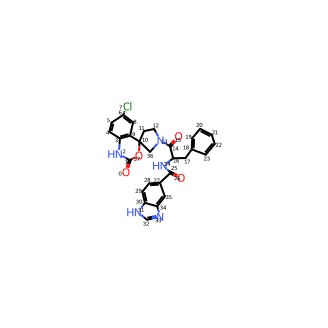 O=C1Nc2ccc(Cl)cc2C2(CCN(C(=O)C(Cc3ccccc3)NC(=O)c3ccc4[nH]cnc4c3)C2)O1